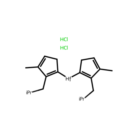 CC1=CC[C]([Hf][C]2=C(CC(C)C)C(C)=CC2)=C1CC(C)C.Cl.Cl